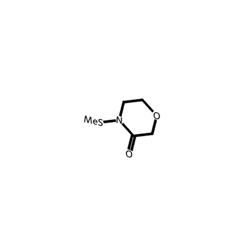 CSN1CCOCC1=O